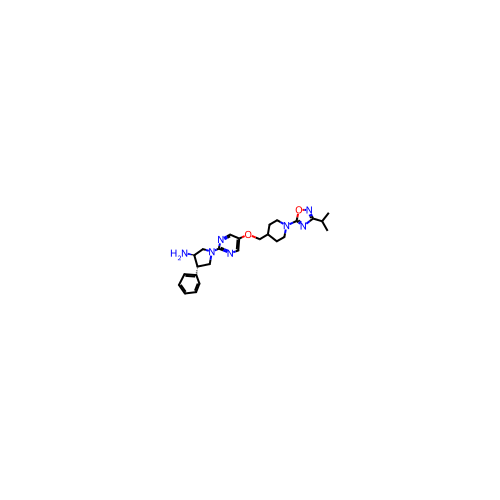 CC(C)c1noc(N2CCC(COc3cnc(N4C[C@H](c5ccccc5)[C@@H](N)C4)nc3)CC2)n1